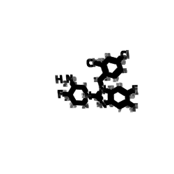 NC1CN(c2nc3cc(F)c(F)cc3n2Cc2ccc(Cl)cc2Cl)CCC1F